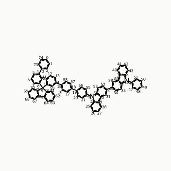 c1ccc(-c2cccc(C3(c4cccc(-c5ccc(-c6ccc(-n7c8ccccc8c8cc(-c9ccc%10c(c9)c9ccccc9n%10-c9ccccc9)ccc87)cc6)cc5)c4)c4ccccc4-c4ccccc43)c2)cc1